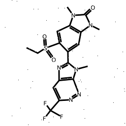 CCS(=O)(=O)c1cc2c(cc1-c1nc3cc(C(F)(F)F)nnc3n1C)n(C)c(=O)n2C